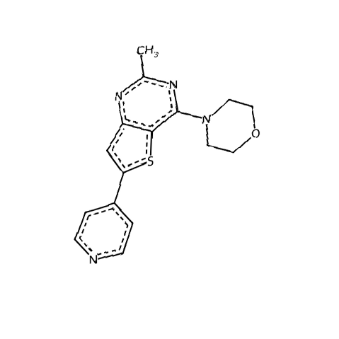 Cc1nc(N2CCOCC2)c2sc(-c3ccncc3)cc2n1